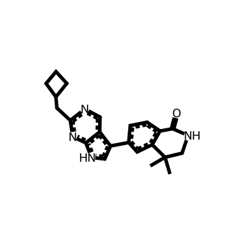 CC1(C)CNC(=O)c2ccc(-c3c[nH]c4nc(CC5CCC5)ncc34)cc21